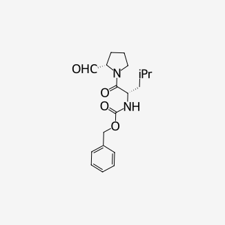 CC(C)C[C@H](NC(=O)OCc1ccccc1)C(=O)N1CCC[C@H]1C=O